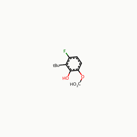 CC(C)(C)c1c(F)ccc(OC(=O)O)c1O